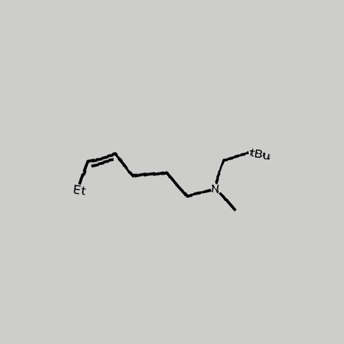 CC/C=C\CCCN(C)CC(C)(C)C